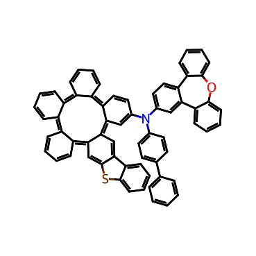 c1ccc(-c2ccc(N(c3ccc4c(c3)-c3ccccc3Oc3ccccc3-4)c3ccc4c5ccccc5c5ccccc5c5ccccc5c5cc6sc7ccccc7c6cc5c4c3)cc2)cc1